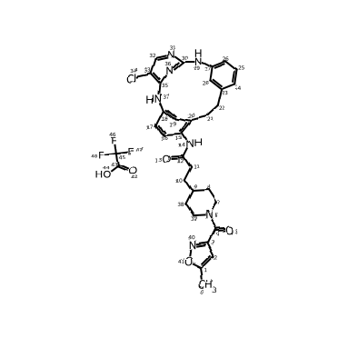 Cc1cc(C(=O)N2CCC(CCC(=O)Nc3ccc4cc3CCc3cccc(c3)Nc3ncc(Cl)c(n3)N4)CC2)no1.O=C(O)C(F)(F)F